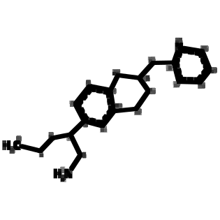 CCCC(CN)c1ccc2c(c1)CCC(Cc1ccccn1)C2